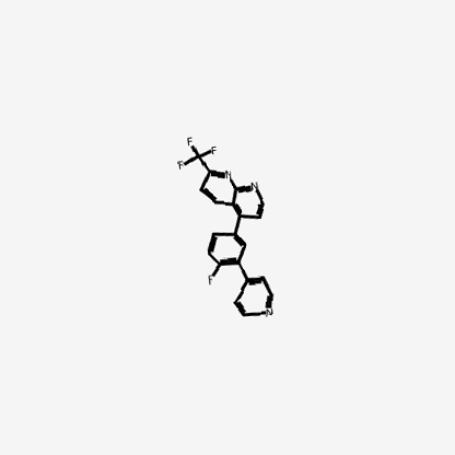 Fc1ccc(-c2ccnc3nc(C(F)(F)F)ccc23)cc1-c1ccncc1